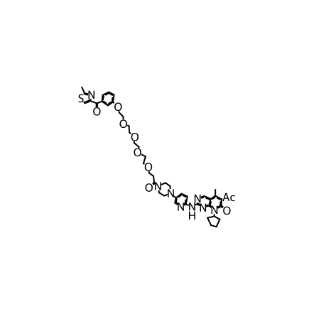 CC(=O)c1c(C)c2cnc(Nc3ccc(N4CCN(C(=O)CCOCCOCCOCCOCCOc5cccc(C(=O)c6csc(C)n6)c5)CC4)cn3)nc2n(C2CCCC2)c1=O